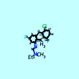 CCN(C)C=Nc1cc(F)cc(Cc2cc(F)ccc2Cl)c1C